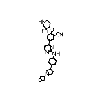 N#Cc1cc(-c2ccnc(Nc3ccc(C4CCN(C5COC5)C4)cc3)n2)ccc1OC1CCNCC1(F)F